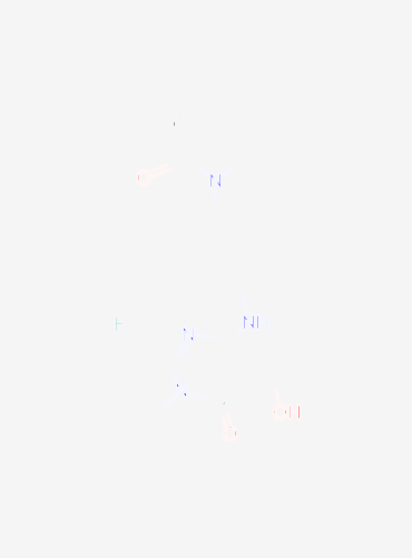 CC(=O)n1ccc2cc(Nc3nc4c(F)cccn4c(=O)c3CO)ccc21